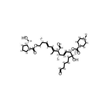 C/C(=C\C=C\[C@@H](C)COC(=O)N1CCC[C@@H]1CO)[C@@H](C=O)[C@@H](C)/C=C/[C@H](OC(=O)N1CCN(C)CC1)[C@@](C)(O)CCCCC=O